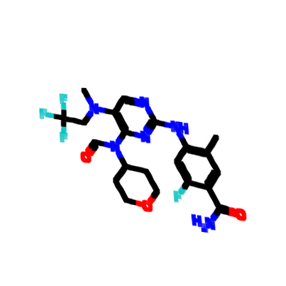 Cc1cc(C(N)=O)c(F)cc1Nc1ncc(N(C)CC(F)(F)F)c(N(C=O)C2CCOCC2)n1